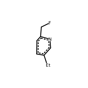 CCc1ccc(CF)nc1